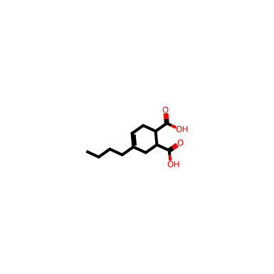 CCCCC1=CCC(C(=O)O)C(C(=O)O)C1